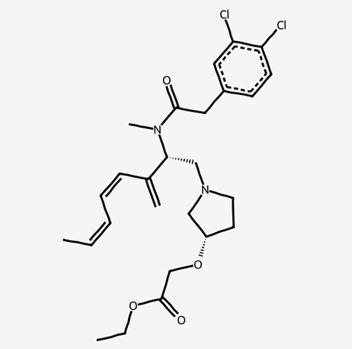 C=C(/C=C\C=C/C)[C@@H](CN1CC[C@H](OCC(=O)OCC)C1)N(C)C(=O)Cc1ccc(Cl)c(Cl)c1